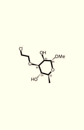 CO[C@@H]1O[C@@H](C)[C@H](O)[C@@H](OCCCl)[C@H]1O